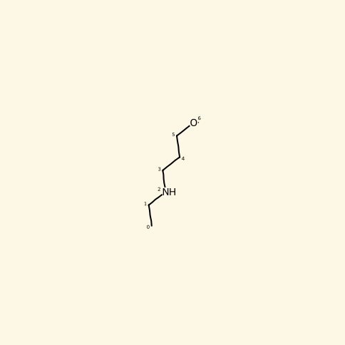 CCNCCC[O]